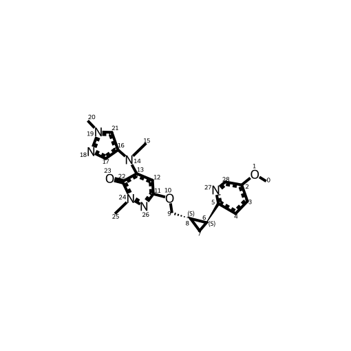 COc1ccc([C@H]2C[C@@H]2COc2cc(N(C)c3cnn(C)c3)c(=O)n(C)n2)nc1